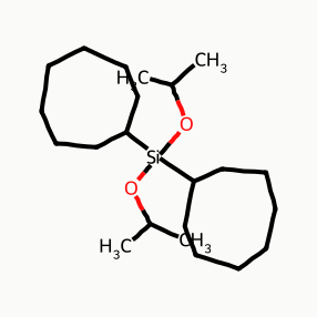 CC(C)O[Si](OC(C)C)(C1CCCCCCC1)C1CCCCCCC1